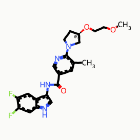 COCCO[C@@H]1CCN(c2ncc(C(=O)Nc3c[nH]c4cc(F)c(F)cc34)cc2C)C1